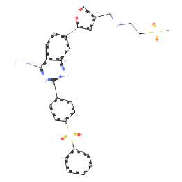 CS(=O)(=O)CCNCc1coc(-c2ccc3c(N)nc(-c4ccc(S(=O)(=O)c5ccccc5)cc4)nc3c2)c1